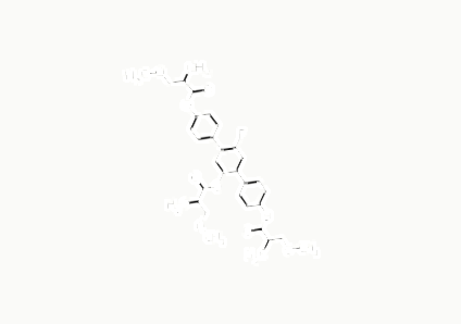 C=C(COC)C(=O)Oc1ccc(-c2cc(OC(=O)C(=C)COC)c(-c3ccc(OC(=O)C(=C)COC)cc3)cc2F)cc1